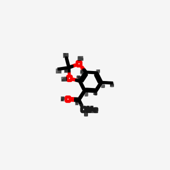 COC(=O)c1cc(C)cc2c1OC(C)(C)O2